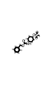 CS(=O)(=O)O[C@H]1CC[C@H](NC(=O)OCc2ccccc2)CC1